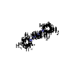 CC(C)[C@@H]1NC(=O)C(C)(C)NC(=O)c2csc(n2)CNC(=O)C[C@@H](/C=C/CC/[SH]=C(/OC(=O)C(=O)O/C(=[SH]/CC/C=C/[C@@H]2CC(=O)NCc3nc(cs3)C(=O)NC(C)(C)C(=O)N[C@@H](C(C)C)C(=O)O2)[C@@H](C)N)[C@@H](C)N)OC1=O